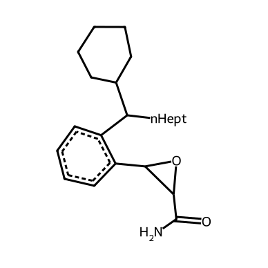 CCCCCCCC(c1ccccc1C1OC1C(N)=O)C1CCCCC1